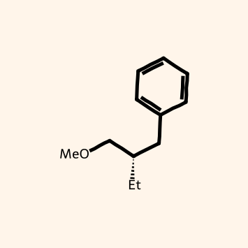 CC[C@H](COC)Cc1ccccc1